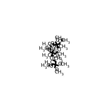 COCC(COC)(COC)CC(C)(C)OC(C)(C)C(COC)(COC)CC(C)(C)OC(C)(C)C(COC)(COC)COC